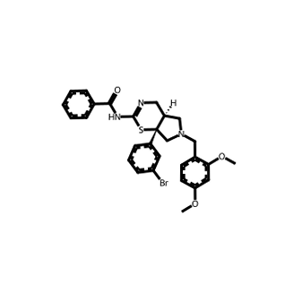 COc1ccc(CN2C[C@@H]3CN=C(NC(=O)c4ccccc4)S[C@@]3(c3cccc(Br)c3)C2)c(OC)c1